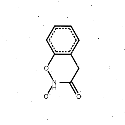 O=C1Cc2ccccc2O[NH+]1[O-]